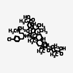 CC(C)C1=C2[C@H]3CC[C@@H]4[C@@]5(C)CC[C@H](OC(=O)CC(C)(C)C(=O)O)C6(C)C[C@]65CC[C@@]4(C)[C@]3(C)CC[C@@]2([C@@H](CN(CCN(C)C)Cc2ccc(Cl)cc2)OC(=O)CC(C)(C)C(=O)O)CC1=O